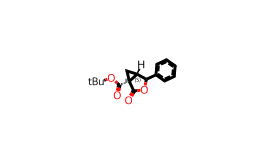 CC(C)(C)OC(=O)[C@]12C[C@@H]1C(c1ccccc1)OC2=O